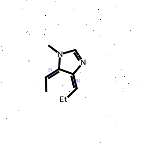 C/C=c1\c(=C/CC)ncn1C